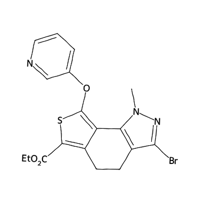 CCOC(=O)c1sc(Oc2cccnc2)c2c1CCc1c(Br)nn(C)c1-2